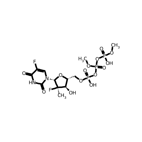 COP(=O)(O)OP(=O)(OC)OP(=O)(O)OC[C@H]1O[C@@H](n2cc(F)c(=O)[nH]c2=O)[C@](C)(F)[C@@H]1O